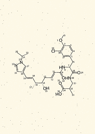 COc1ccc(CC(NC(=O)/C=C/C[C@H](O)[C@H](C)/C=C/c2cnn(C(C)C)c2)C(=O)NCC(C)C(=O)O)cc1Cl